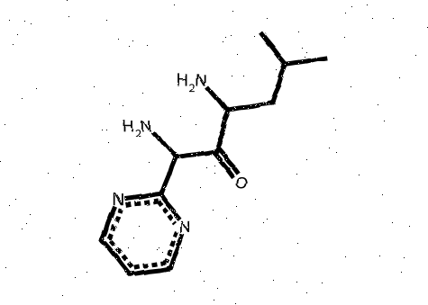 CC(C)CC(N)C(=O)C(N)c1ncccn1